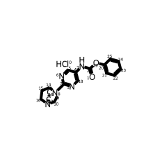 Cl.O=C(Nc1cnc(N2CCN3CCC2CC3)nc1)Oc1ccccc1